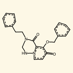 O=C1c2c(OCc3ccccc3)c(=O)ccn2NCN1CCc1ccccc1